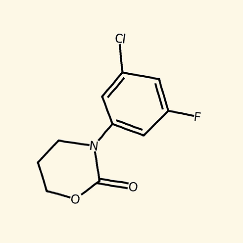 O=C1OCCCN1c1cc(F)cc(Cl)c1